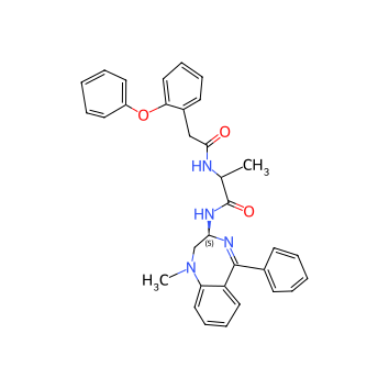 CC(NC(=O)Cc1ccccc1Oc1ccccc1)C(=O)N[C@@H]1CN(C)c2ccccc2C(c2ccccc2)=N1